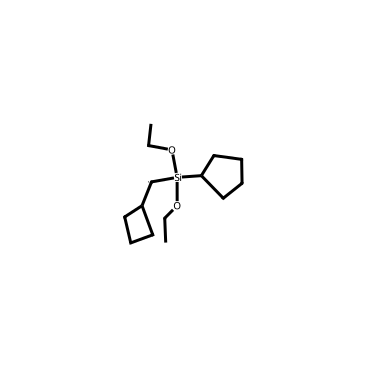 CCO[Si]([CH]C1CCC1)(OCC)C1CCCC1